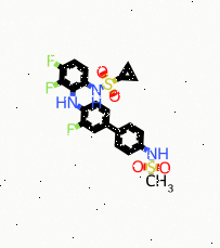 CS(=O)(=O)Nc1ccc(-c2ccc(Nc3c(NS(=O)(=O)C4CC4)ccc(F)c3F)c(F)c2)cc1